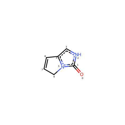 O=c1[nH]cc2n1CC=C2